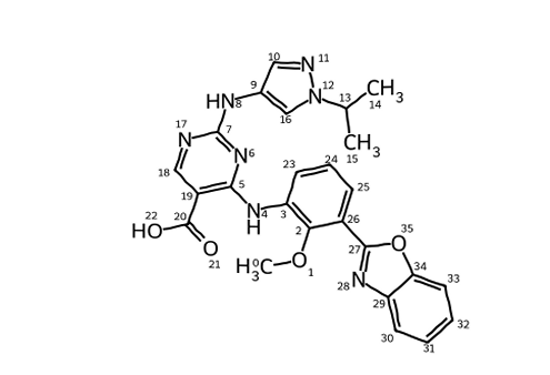 COc1c(Nc2nc(Nc3cnn(C(C)C)c3)ncc2C(=O)O)cccc1-c1nc2ccccc2o1